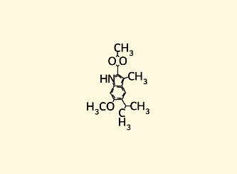 COc1cc2[nH]c(C3OC(C)O3)c(C)c2cc1C(C)C